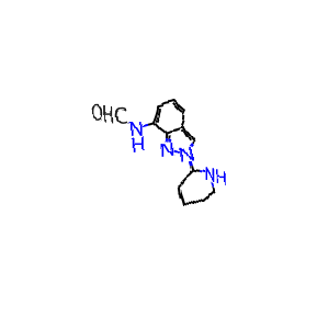 O=CNc1cccc2cn(C3CCCCN3)nc12